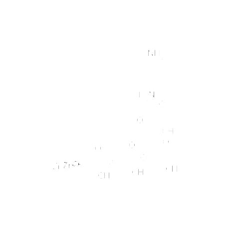 CC(=O)[O-].CC(=O)[O-].CC(=O)[O-].CC(=O)[O-].NCCN.[Zn+2].[Zn+2]